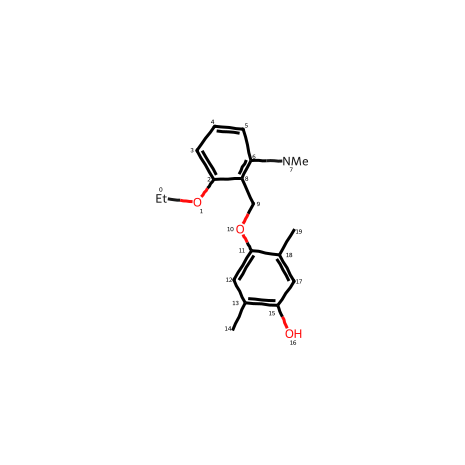 CCOc1cccc(NC)c1COc1cc(C)c(O)cc1C